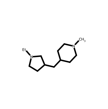 CCN1CCC(CC2CCN(C)CC2)C1